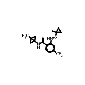 C=C(NC12CC1(C(F)(F)F)C2)c1ccc(C(F)(F)F)cc1NSC1(C)CC1